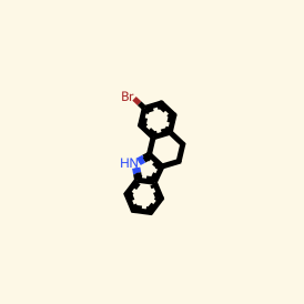 Brc1ccc2c(c1)-c1[nH]c3ccccc3c1CC2